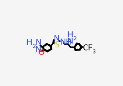 Nc1noc2ccc(-c3cnc(NC[C@H](N)Cc4ccc(C(F)(F)F)cc4)s3)cc12